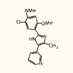 CNc1cc(OC)c(-c2nc(C)c(-c3cccnc3)[nH]2)cc1Cl